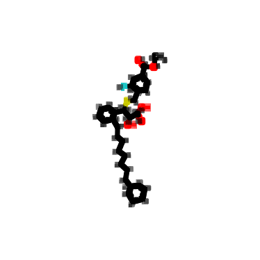 COC(=O)c1ccc(CS[C@H](c2ccccc2CCCCCCCCc2ccccc2)[C@@H](O)C(=O)O)c(F)c1